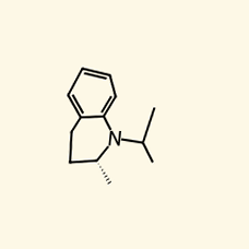 CC(C)N1c2ccccc2CC[C@H]1C